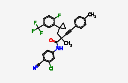 Cc1ccc(C#CC(C)(CC2(c3cc(C(F)(F)F)ccc3F)CC2)C(=O)Nc2ccc(C#N)c(Cl)c2)cc1